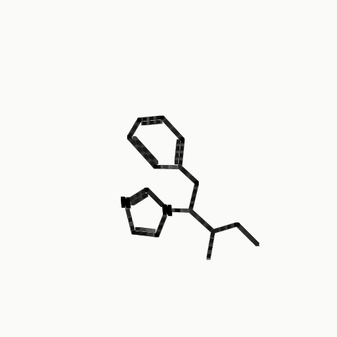 CCC(C)C(Cc1ccccc1)n1ccnc1